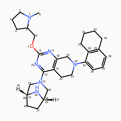 CN1CCCC1COc1nc2c(c(N3C[C@H]4CC[C@@H](C3)N4)n1)CCN(c1cccc3c1CCCC3)C2